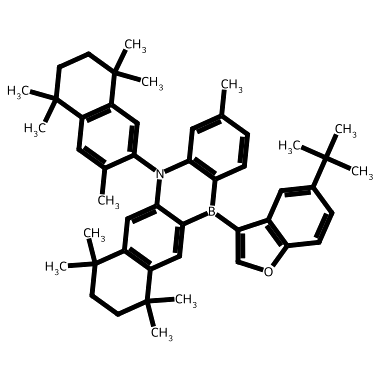 Cc1ccc2c(c1)N(c1cc3c(cc1C)C(C)(C)CCC3(C)C)c1cc3c(cc1B2c1coc2ccc(C(C)(C)C)cc12)C(C)(C)CCC3(C)C